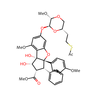 COC(=O)[C@H]1[C@@H](c2ccccc2)[C@@]2(c3ccc(OC)cc3)Oc3cc(O[C@@H]4O[C@@H](CCSC(C)=O)CO[C@H]4OC)cc(OC)c3[C@]2(O)[C@H]1O